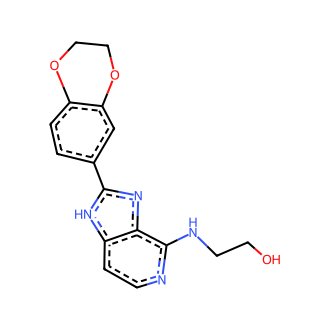 OCCNc1nccc2[nH]c(-c3ccc4c(c3)OCCO4)nc12